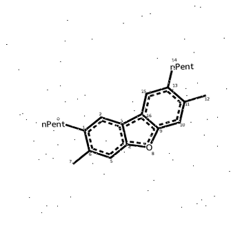 CCCCCc1cc2c(cc1C)oc1cc(C)c(CCCCC)cc12